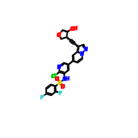 O=S(=O)(Nc1cc(-c2ccn3ncc(C#CC4COCC4O)c3c2)cnc1Cl)c1ccc(F)cc1F